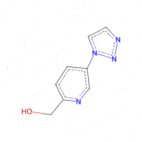 OCc1ccc(-n2ccnn2)cn1